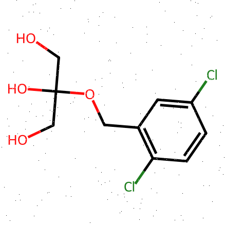 OCC(O)(CO)OCc1cc(Cl)ccc1Cl